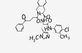 Cc1cc(NC(=O)[C@H](Cc2cncn2C)NC(=O)[C@@H]2Cc3ccccc3CN2C(=O)CCC(=O)c2ccccc2)ccc1Cl